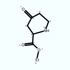 CCOC(=O)C1CC(=O)CCN1